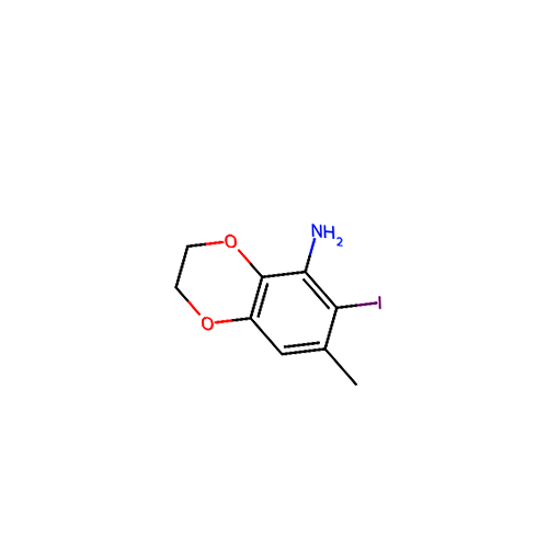 Cc1cc2c(c(N)c1I)OCCO2